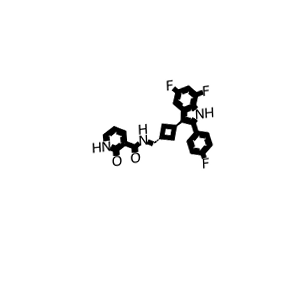 O=C(NC[C@H]1C[C@H](c2c(-c3ccc(F)cc3)[nH]c3c(F)cc(F)cc32)C1)c1ccc[nH]c1=O